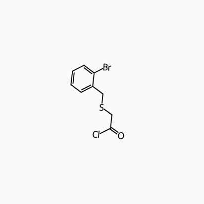 O=C(Cl)CSCc1ccccc1Br